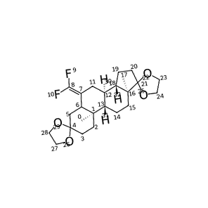 C[C@]12CCC3(CC1C(=C(F)F)C[C@@H]1[C@@H]2CC[C@@]2(C)[C@H]1CCC21OCCO1)OCCO3